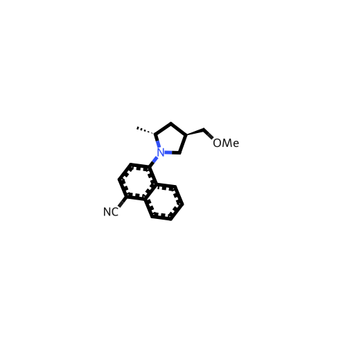 COC[C@@H]1C[C@@H](C)N(c2ccc(C#N)c3ccccc23)C1